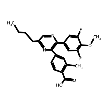 CCCCc1cnc(-c2cc(F)c(OC)c(F)c2)c(-c2ccc(C(=O)O)c(C)c2)n1